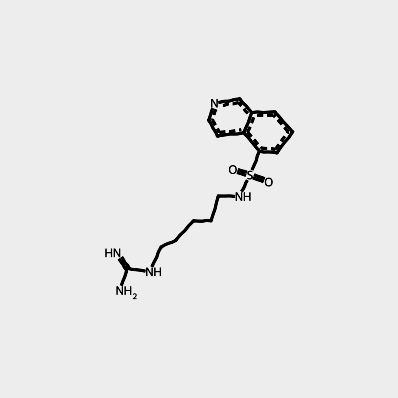 N=C(N)NCCCCCNS(=O)(=O)c1cccc2cnccc12